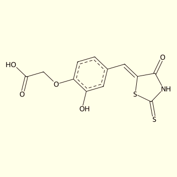 O=C(O)COc1ccc(/C=C2\SC(=S)NC2=O)cc1O